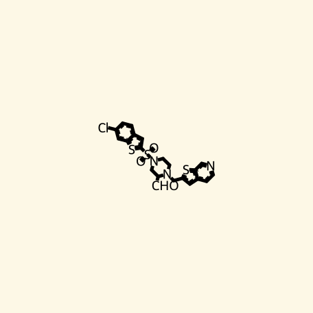 O=CC1CN(S(=O)(=O)c2cc3ccc(Cl)cc3s2)CCN1Cc1cc2ccncc2s1